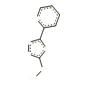 NNc1nc(-c2ccccn2)no1